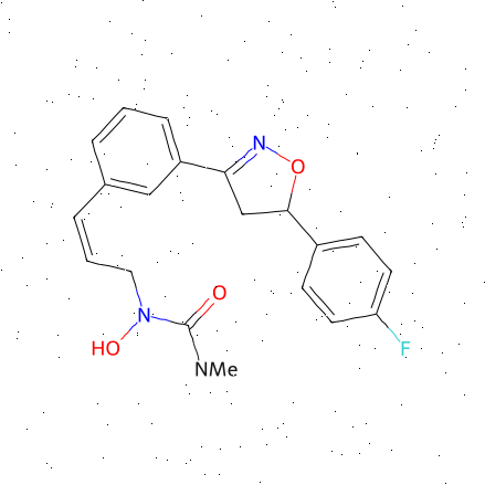 CNC(=O)N(O)C/C=C\c1cccc(C2=NOC(c3ccc(F)cc3)C2)c1